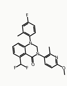 COc1ccc(N2CN(c3ccc(F)cc3C)c3cccc(C(F)F)c3C2=O)c(C)n1